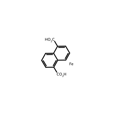 O=C(O)c1cccc2c(C(=O)O)cccc12.[Fe]